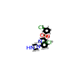 Cl.O=S(=O)(c1cccc(Cl)c1)c1cnc2c(N3CCNCC3)cccc2c1